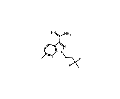 CC(F)(F)CCn1nc(C(=N)N)c2ccc(Cl)nc21